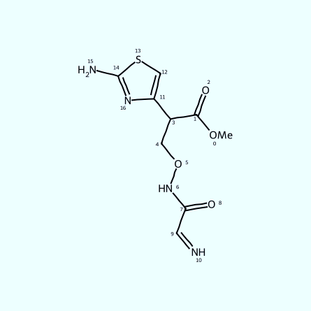 COC(=O)C(CONC(=O)C=N)c1csc(N)n1